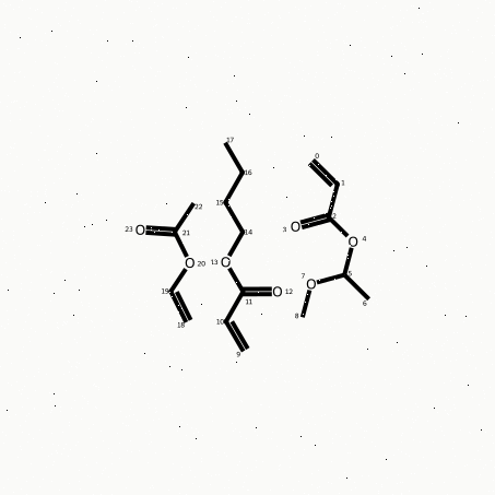 C=CC(=O)OC(C)OC.C=CC(=O)OCCCC.C=COC(C)=O